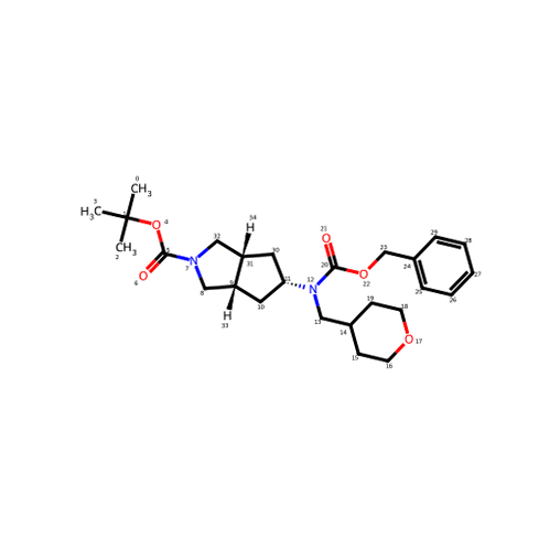 CC(C)(C)OC(=O)N1C[C@H]2C[C@@H](N(CC3CCOCC3)C(=O)OCc3ccccc3)C[C@H]2C1